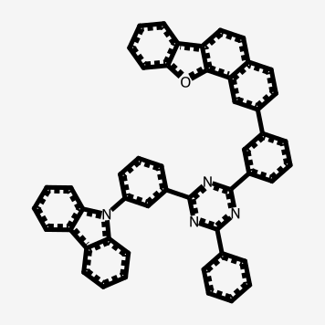 c1ccc(-c2nc(-c3cccc(-c4ccc5ccc6c7ccccc7oc6c5c4)c3)nc(-c3cccc(-n4c5ccccc5c5ccccc54)c3)n2)cc1